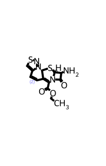 CCOC(=O)C1=C(/C=C\c2csnn2)CS[C@@H]2C(N)C(=O)N12